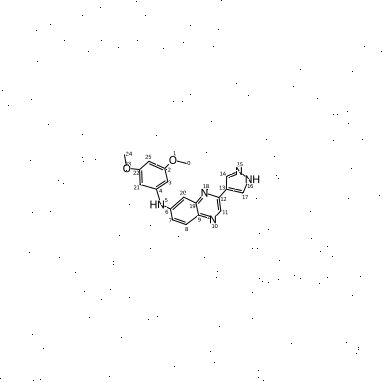 COc1cc(Nc2ccc3ncc(-c4cn[nH]c4)nc3c2)cc(OC)c1